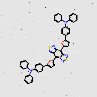 c1ccc(N(c2ccccc2)c2ccc(-c3ccc(-c4c5c(c(-c6ccc(-c7ccc(N(c8ccccc8)c8ccccc8)cc7)o6)c6nsnc46)N=S=N5)o3)cc2)cc1